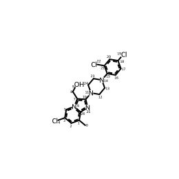 Cc1cc(Cl)cn2c(CO)c(N3CCN(c4ccc(Cl)cc4Cl)CC3)nc12